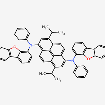 CC(C)c1cc(N(C2=CC=CCC2)c2cccc3c4c(oc23)CCC=C4)c2ccc3c(C(C)C)cc(N(c4ccccc4)c4cccc5c4OC4C=CC=CC54)c4ccc1c2c34